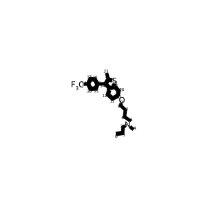 C=CCN(C)CCCCOc1ccc2c(-c3ccc(C(F)(F)F)cc3)c(C)sc2c1